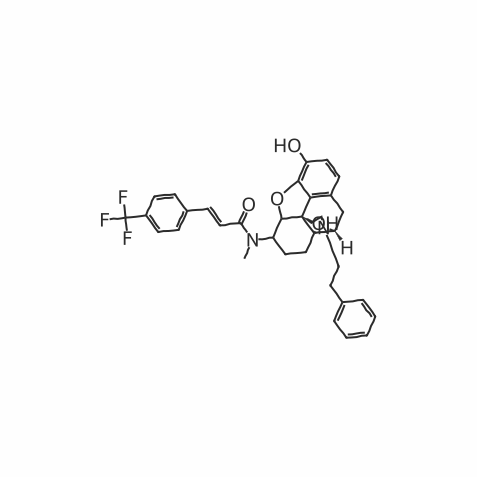 CN(C(=O)/C=C/c1ccc(C(F)(F)F)cc1)C1CC[C@@]2(O)[C@H]3Cc4ccc(O)c5c4[C@@]2(CCN3CCc2ccccc2)C1O5